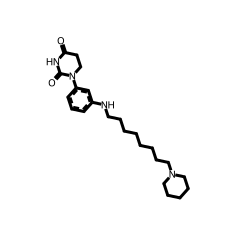 O=C1CCN(c2cccc(NCCCCCCCCN3CCCCC3)c2)C(=O)N1